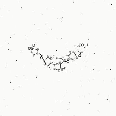 Cc1cc(OC[C@H]2CCS(=O)(=O)C2)cc(C)c1-c1ccc(F)c2c1CC[C@H]2Oc1ccc2c(c1)OC[C@H]2CC(=O)O